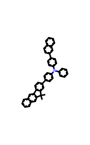 CC1(C)c2cc(-c3ccc(N(c4ccccc4)c4ccc(-c5ccc6ccccc6c5)cc4)cc3)ccc2-c2cc3ccccc3cc21